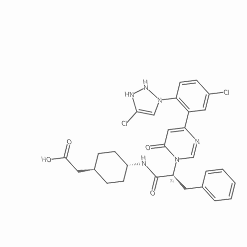 O=C(O)C[C@H]1CC[C@H](NC(=O)[C@H](Cc2ccccc2)n2cnc(-c3cc(Cl)ccc3N3C=C(Cl)NN3)cc2=O)CC1